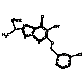 CCCCCC(C)c1nc2nc(OCc3cccc(Cl)c3)n(CCC)c(=O)c2[nH]1